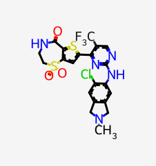 CN1Cc2cc(Cl)c(Nc3ncc(C(F)(F)F)c(-c4cc5c(s4)C(=O)NCCS5(=O)=O)n3)cc2C1